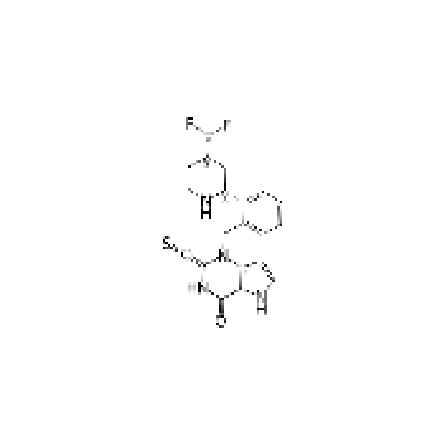 O=C1NC(=C=S)N(Cc2ccccc2[C@H]2C[C@@H](C(F)F)CCN2)c2cc[nH]c21